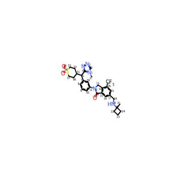 Cn1cnnc1C(c1cccc(N2Cc3c(cc(CNC4(C)CCC4)cc3C(F)(F)F)C2=O)c1)C1CCS(=O)(=O)CC1